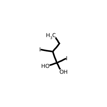 CCC(I)C(O)(O)I